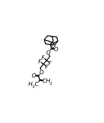 C=C(C)C(=O)OCC(F)(F)C(F)(F)COC(=O)C12CC3CC(C1)C(=O)C(C3)C2